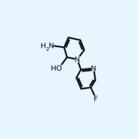 NC1=CC=CN(c2ccc(F)cn2)C1O